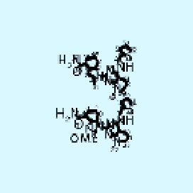 COc1nc2c(C(N)=O)cccc2n1-c1nc(NCc2cccs2)c2c(n1)N(C)CCC2.Cc1cc2c(C(N)=O)cccc2n1-c1nc(NCc2cccs2)c2c(n1)N(C)CCC2